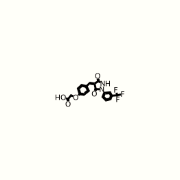 O=C(O)COc1ccc(C=C2C(=O)NN(c3cccc(C(F)(F)F)c3)C2=O)cc1